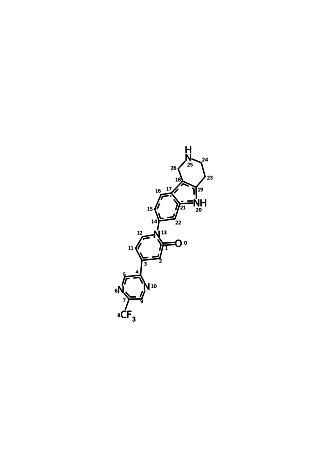 O=c1cc(-c2cnc(C(F)(F)F)cn2)ccn1-c1ccc2c3c([nH]c2c1)CCNC3